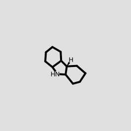 C1CCC2C(C1)NC1CCCC[C@H]12